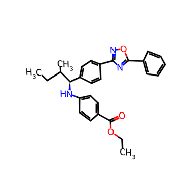 CCOC(=O)c1ccc(N[C@H](c2ccc(-c3noc(-c4ccccc4)n3)cc2)C(C)CC)cc1